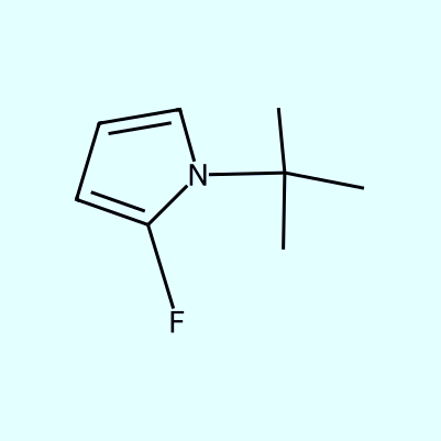 CC(C)(C)n1cccc1F